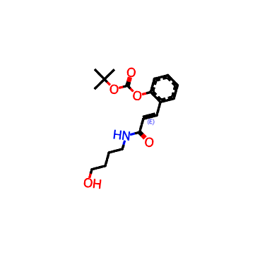 CC(C)(C)OC(=O)Oc1ccccc1/C=C/C(=O)NCCCCO